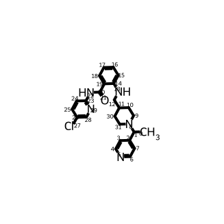 CC(c1ccncc1)N1CCC(CNc2ccccc2C(=O)Nc2ccc(Cl)cn2)CC1